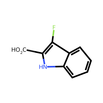 O=C(O)c1[nH]c2ccccc2c1F